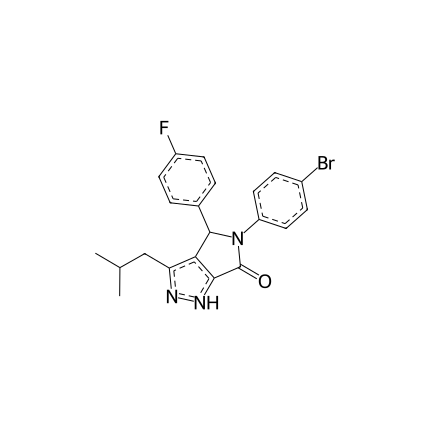 CC(C)Cc1n[nH]c2c1C(c1ccc(F)cc1)N(c1ccc(Br)cc1)C2=O